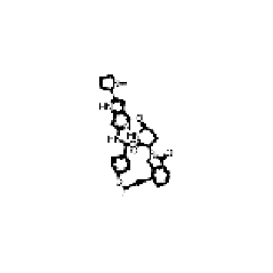 C[C@@H](C#Cc1cccc2c1CN(C1CCC(=O)NC1=O)C2=O)Oc1ccc(C(=O)Nc2cc3[nH]c([C@H]4CCCN4C)cc3cn2)cc1